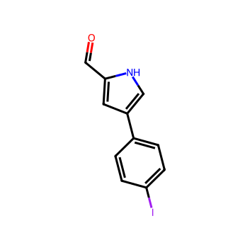 O=Cc1cc(-c2ccc(I)cc2)c[nH]1